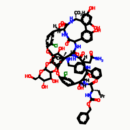 CC(C)C[C@H](NC(=O)OCc1ccccc1)C(=O)N[C@H]1C(=O)N[C@@H](CC(N)=O)C(=O)N[C@H]2C(=O)NC3C(=O)N[C@H](C(=O)N[C@H](C(=O)O)c4cc(O)cc(O)c4-c4cc3ccc4O)[C@H](O)c3ccc(c(Cl)c3)Oc3cc2cc(c3OC2O[C@H](CO)[C@@H](O)[C@H](O)C2O[C@H]2C[C@](C)(NCc3ccc(-c4ccccc4)cc3)[C@H](O)[C@H](C)O2)Oc2ccc(cc2Cl)[C@H]1O